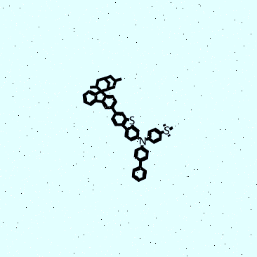 CC1CC2CC(C)C3(c4ccccc4-c4cc(-c5ccc6c(c5)sc5cc(N(c7ccc(-c8ccccc8)cc7)c7ccc(S(C)(C)C)cc7)ccc56)ccc43)C(C1)C2